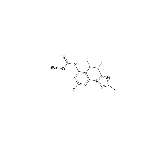 Cc1nc2n(n1)-c1cc(F)cc(NC(=O)OC(C)(C)C)c1N(C)C2C